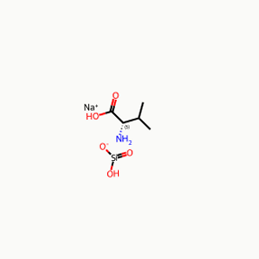 CC(C)[C@H](N)C(=O)O.O=[Si]([O-])O.[Na+]